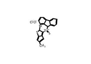 CC1=CC2=[C]([Zr+2](=[S])[CH]3c4ccccc4-c4ccccc43)C(Br)SC2=C1.[Cl-].[Cl-]